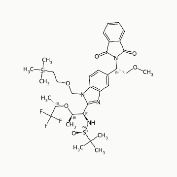 COC[C@H](c1ccc2c(c1)nc([C@@H](N[S@+]([O-])C(C)(C)C)[C@@H](C)O[C@@H](C)C(F)(F)F)n2COCC[Si](C)(C)C)N1C(=O)c2ccccc2C1=O